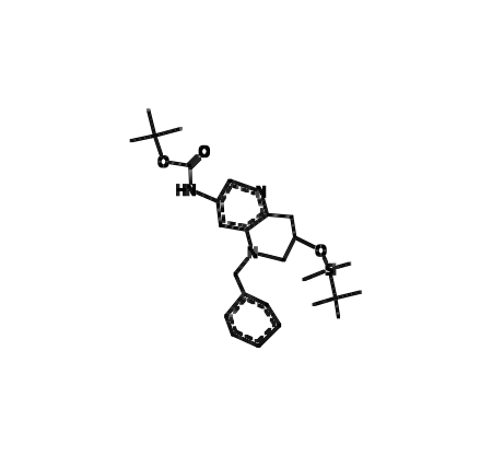 CC(C)(C)OC(=O)Nc1cnc2c(c1)N(Cc1ccccc1)CC(O[Si](C)(C)C(C)(C)C)C2